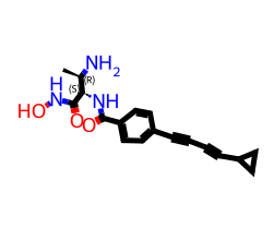 C[C@@H](N)[C@H](NC(=O)c1ccc(C#CC#CC2CC2)cc1)C(=O)NO